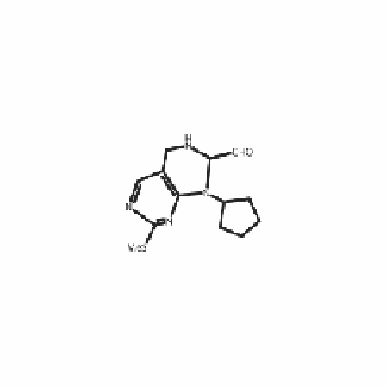 CSc1ncc2c(n1)N(C1CCCC1)C(C=O)NC2